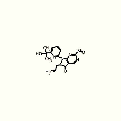 C=CCn1c(=O)c2cnc([S+]=O)nc2n1-c1cccc(C(C)(C)O)n1